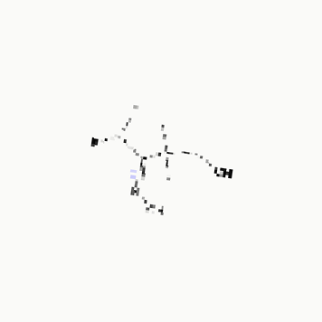 CC(C)(CO)/C(=N\O)C(F)F